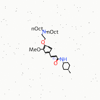 CCCCCCCCN(CCCCCCCC)CCOc1ccc(/C=C/C(=O)N[C@H]2CC[C@H](C)CC2)cc1OC